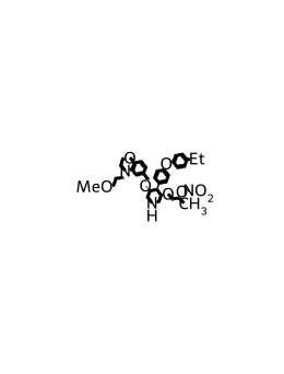 CCc1ccc(Oc2ccc([C@@H]3[C@@H](OCc4ccc5c(c4)N(CCCOC)CCO5)CNC[C@H]3OCC(C)O[N+](=O)[O-])cc2)cc1